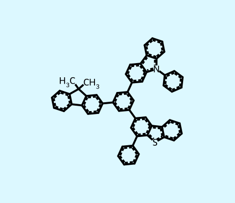 CC1(C)c2ccccc2-c2ccc(-c3cc(-c4cc(-c5ccccc5)c5sc6ccccc6c5c4)cc(-c4ccc5c6ccccc6n(-c6ccccc6)c5c4)c3)cc21